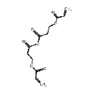 C=CC(=O)OCCC(=O)OC(=O)CCOC(=O)C=C